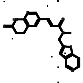 CN(Cc1cc2cnccc2s1)C(=O)C=Cc1cnc2c(c1)CCC(=O)N2